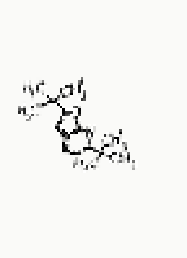 CC(C)(C)c1ccc2cc(C(C)(C)C)oc2n1